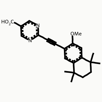 COc1cc2c(cc1C#Cc1ncc(C(=O)O)cn1)C(C)(C)CCC2(C)C